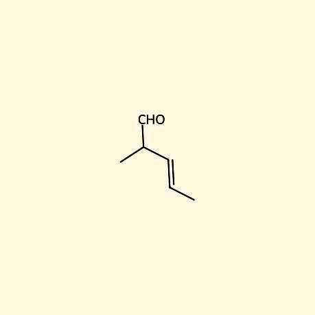 CC=CC(C)C=O